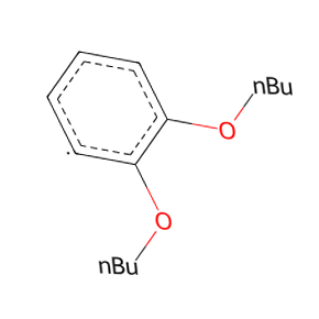 CCCCOc1[c]cccc1OCCCC